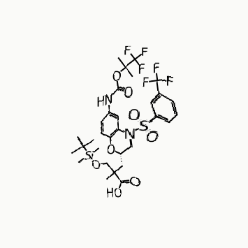 CC(CO[Si](C)(C)C(C)(C)C)(C[C@H]1CN(S(=O)(=O)c2cccc(C(F)(F)F)c2)c2cc(NC(=O)OC(C)(C)C(F)(F)F)ccc2O1)C(=O)O